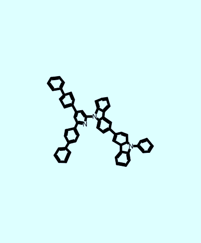 C1=CC2C(C=C1c1ccc3c(c1)c1ccccc1n3-c1cc(-c3ccc(-c4ccccc4)cc3)cc(-c3ccc(-c4ccccc4)cc3)n1)c1ccccc1N2c1ccccc1